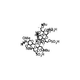 CCCCOC1[C@@H](OC(COS(=O)(=O)O)OC(C(=O)O)[C@H](O[C@@H]2OC(COS(=O)(=O)O)[C@H](OC(COS(=O)(=O)O)OC(C(=O)O)[C@H](O)[C@H](C)OCCCC)C(OCCCC)[C@@H]2N=[N+]=[N-])[C@H](C)OCCCC)C(COS(=O)(=O)O)O[C@@H](OC)[C@H]1N=[N+]=[N-]